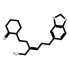 CCC(=CCCc1ccc2c(c1)OCO2)CCC1CCCCC1=O